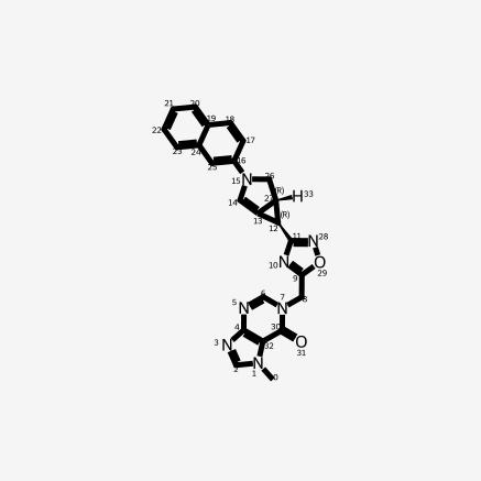 Cn1cnc2ncn(Cc3nc([C@H]4C5=CN(c6ccc7ccccc7c6)C[C@@H]54)no3)c(=O)c21